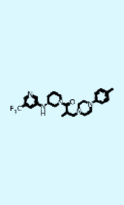 Cc1ccc(N2CCN(CC(C)C(=O)N3CCC[C@H](Nc4cncc(C(F)(F)F)c4)C3)CC2)cc1